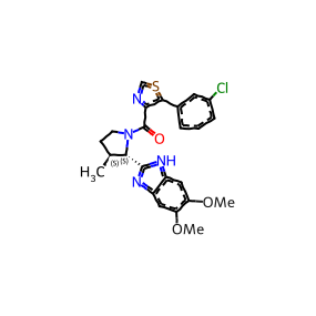 COc1cc2nc([C@@H]3[C@@H](C)CCN3C(=O)c3ncsc3-c3cccc(Cl)c3)[nH]c2cc1OC